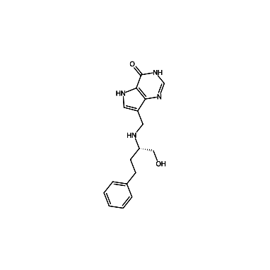 O=c1[nH]cnc2c(CN[C@H](CO)CCc3ccccc3)c[nH]c12